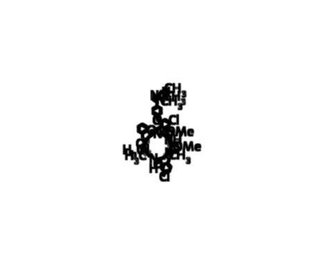 COCC[C@H]1C(=O)N[C@@H](COC)C(=O)N(C)[C@@H](Cc2ccc(Cl)cc2)CC(=O)NC[C@H](C)N(C)C(=O)[C@H](Cc2ccccc2)CC(=O)N1Cc1ccc(Cl)cc1Oc1ccc(-c2cnc(CN(C)C)n2C)cc1